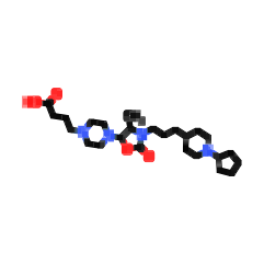 CC1C(N2CCN(CCCC(=O)O)CC2)OC(=O)N1CCCC1CCN(C2CCCC2)CC1